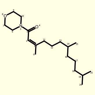 CC(=CC(=O)N1CCOCC1)CCCC(C)CCCC(C)C